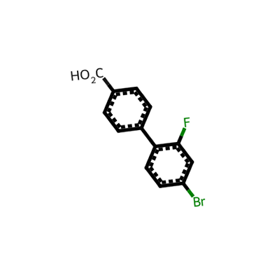 O=C(O)c1ccc(-c2ccc(Br)cc2F)cc1